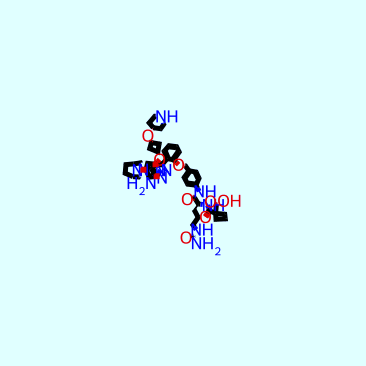 NC(=O)NCCC[C@H](NC(=O)C1(C(=O)O)CCC1)C(=O)Nc1ccc(COc2ccccc2-c2cc(N3CC4CCC(C3)N4c3ccnc(O[C@H]4C[C@H](OC5CCNCC5)C4)c3)c(N)nn2)cc1